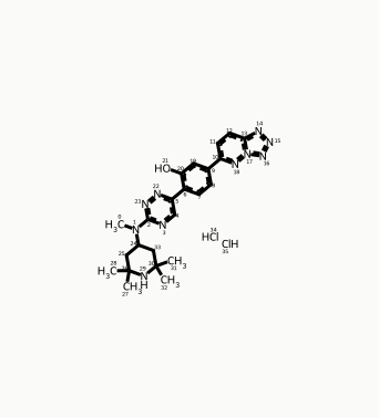 CN(c1ncc(-c2ccc(-c3ccc4nnnn4n3)cc2O)nn1)C1CC(C)(C)NC(C)(C)C1.Cl.Cl